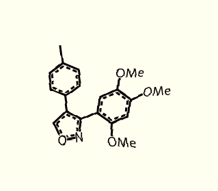 COc1cc(OC)c(-c2nocc2-c2ccc(C)cc2)cc1OC